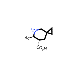 CC(=O)[C@H]1NCC2(CC2)C[C@@H]1C(=O)O